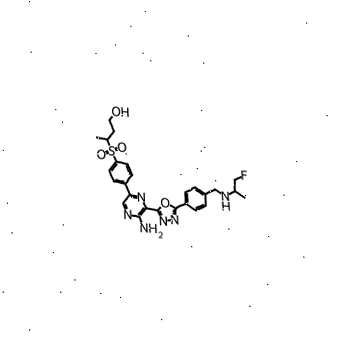 CC(CF)NCc1ccc(-c2nnc(-c3nc(-c4ccc(S(=O)(=O)C(C)CCO)cc4)cnc3N)o2)cc1